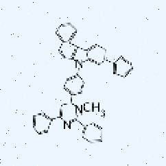 CN1C(c2ccccc2)=NC(c2ccccc2)=CC1c1ccc(-n2c3cc(-c4ccccc4)ccc3c3c4ccccc4ccc32)cc1